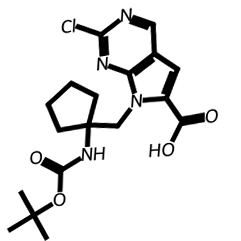 CC(C)(C)OC(=O)NC1(Cn2c(C(=O)O)cc3cnc(Cl)nc32)CCCC1